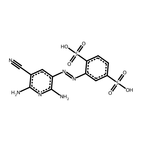 N#Cc1cc(/N=N/c2cc(S(=O)(=O)O)ccc2S(=O)(=O)O)c(N)nc1N